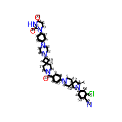 C[C@@H]1CC2(CCN(c3ccc(C(=O)N4CCC5(CC4)CC(N4CCN(c6ccc(N7CCC(=O)NC7=O)cc6)CC4)C5)cc3)CC2)CN1c1ccc(C#N)c(Cl)c1